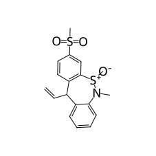 C=CC1c2ccccc2N(C)[S+]([O-])c2cc(S(C)(=O)=O)ccc21